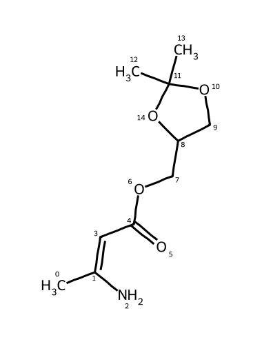 CC(N)=CC(=O)OCC1COC(C)(C)O1